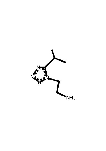 CC(C)c1nnnn1CCN